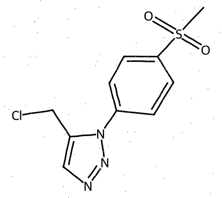 CS(=O)(=O)c1ccc(-n2nncc2CCl)cc1